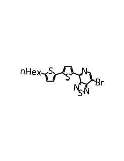 CCCCCCc1ccc(-c2ccc(-c3ncc(Br)c4nsnc34)s2)s1